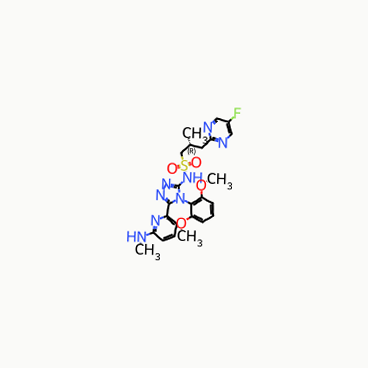 CNc1cccc(-c2nnc(NS(=O)(=O)C[C@H](C)Cc3ncc(F)cn3)n2-c2c(OC)cccc2OC)n1